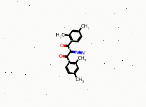 Cc1ccc(C(=O)C(=[N+]=[N-])C(=O)c2ccc(C)cc2C)c(C)c1